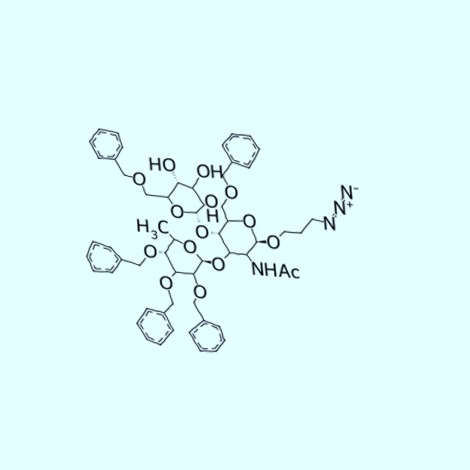 CC(=O)NC1C(O[C@@H]2OC(C)[C@@H](OCc3ccccc3)C(OCc3ccccc3)C2OCc2ccccc2)[C@H](O[C@@H]2OC(COCc3ccccc3)[C@H](O)C(O)C2O)C(COCc2ccccc2)O[C@H]1OCCCN=[N+]=[N-]